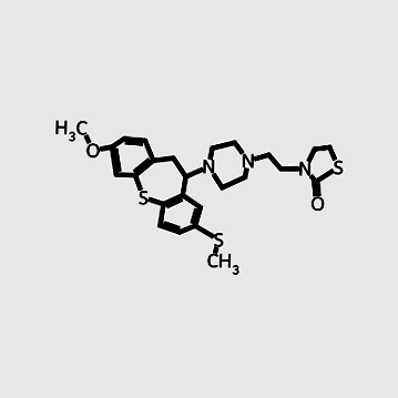 COc1ccc2c(c1)Sc1ccc(SC)cc1C(N1CCN(CCN3CCSC3=O)CC1)C2